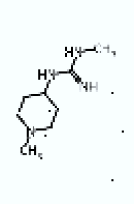 CNC(=N)NC1CCN(C)CC1